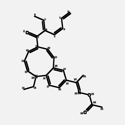 C=C/C=C\C(=C\C)C(=O)c1cccn(CC)c2ccc(/C(C)=N/OC(C)=O)cc2cc1